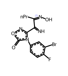 CCC/C(=N/O)C(=N)c1noc(=O)n1-c1ccc(F)c(Br)c1